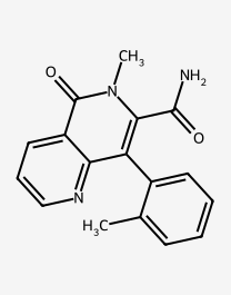 Cc1ccccc1-c1c(C(N)=O)n(C)c(=O)c2cccnc12